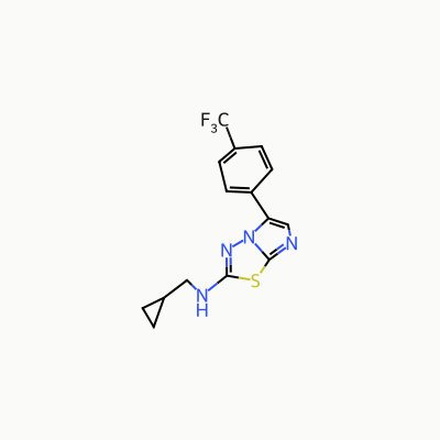 FC(F)(F)c1ccc(-c2cnc3sc(NCC4CC4)nn23)cc1